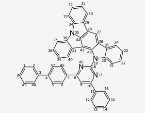 c1ccc(-c2ccc(-c3cc(-c4ccccc4)nc(-n4c5ccccc5c5cc6c7ccccc7n7c8ccccc8c(c54)c67)n3)cc2)cc1